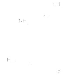 COc1c[c]c(Br)c(OC)c1CN